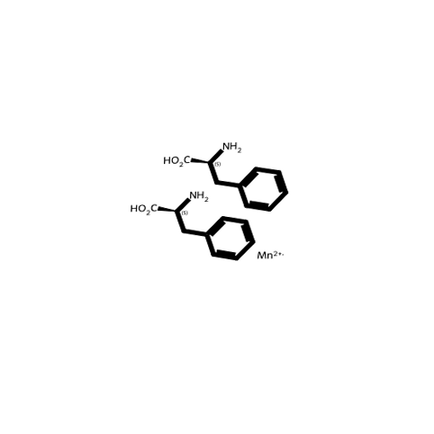 N[C@@H](Cc1ccccc1)C(=O)O.N[C@@H](Cc1ccccc1)C(=O)O.[Mn+2]